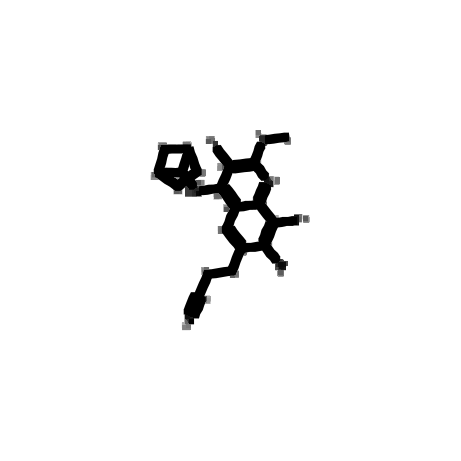 CSc1nc2c(F)c(Br)c(CCC#N)cc2c(NC2C3CCC2C3)c1I